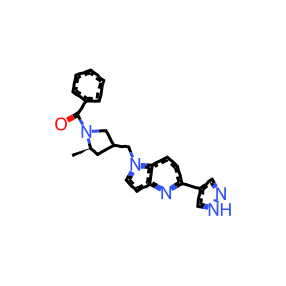 C[C@@H]1CC(Cn2ccc3nc(-c4cn[nH]c4)ccc32)CN1C(=O)c1ccccc1